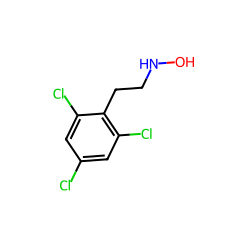 ONCCc1c(Cl)cc(Cl)cc1Cl